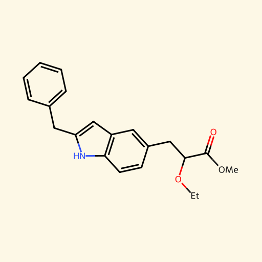 CCOC(Cc1ccc2[nH]c(Cc3ccccc3)cc2c1)C(=O)OC